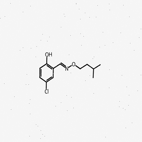 CC(C)CCON=Cc1cc(Cl)ccc1O